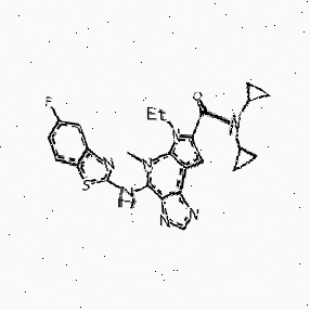 CCn1c(C(=O)N(C2CC2)C2CC2)cc2c3ncnc-3c(Nc3nc4cc(F)ccc4s3)n(C)c21